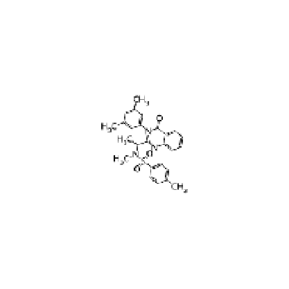 Cc1ccc(S(=O)(=O)N(C)C(C)c2nc3ccccc3c(=O)n2-c2cc(C)cc(C)c2)cc1